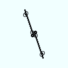 CCCCOC(=O)CCCCCCCCCCCCCCCCCOc1c2ccccc2c(OCCCCCCCCCCCCCCCCCC(=O)OCCCC)c2ccccc12